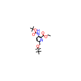 CCOC(=O)c1nc(CO[Si](C)(C)C(C)(C)C)ccc1NC(=O)OC(C)(C)C